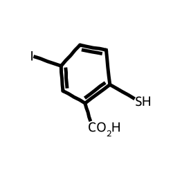 O=C(O)c1cc(I)ccc1S